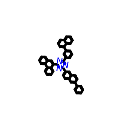 c1ccc(-c2ccc3cc(-c4nc(-c5cccc(-c6cccc7ccccc67)c5)nc(-c5cc6ccccc6c6ccccc56)n4)ccc3c2)cc1